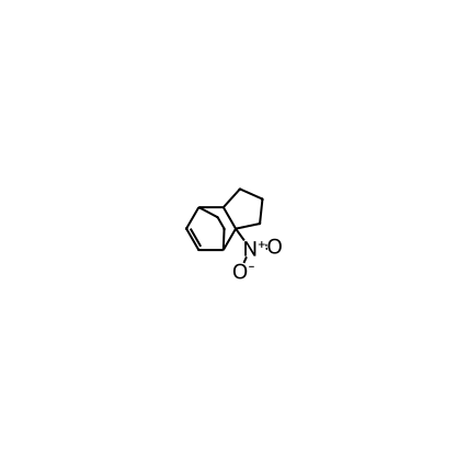 O=[N+]([O-])C12CCCC1C1C=CC2CC1